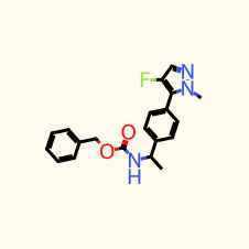 CC(NC(=O)OCc1ccccc1)c1ccc(-c2c(F)cnn2C)cc1